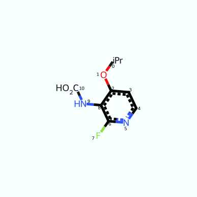 CC(C)Oc1ccnc(F)c1NC(=O)O